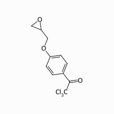 O=C(c1ccc(OCC2CO2)cc1)C(Cl)(Cl)Cl